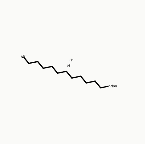 CCCCCCCCCCCCCCCCCCC[CH2][Al+2].[H-].[H-]